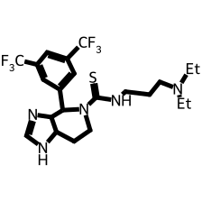 CCN(CC)CCCNC(=S)N1CCC2NC=NC2C1c1cc(C(F)(F)F)cc(C(F)(F)F)c1